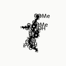 C=CCOC(=O)Nc1cc(OCCCC(=O)OC)c(OC)cc1C(=O)N1c2cc(NC(=O)[C@H](C)NC(=O)[C@@H](NC(=O)OCC=C)C(C)C)ccc2C[C@H]1CO